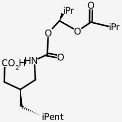 CCC[C@@H](C)C[C@H](CNC(=O)O[C@H](OC(=O)C(C)C)C(C)C)CC(=O)O